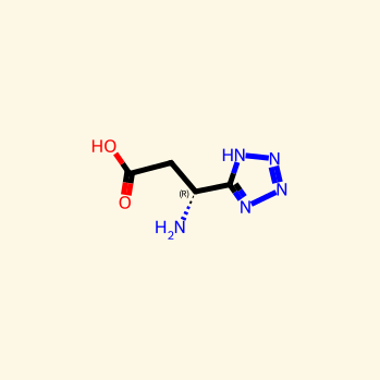 N[C@H](CC(=O)O)c1nnn[nH]1